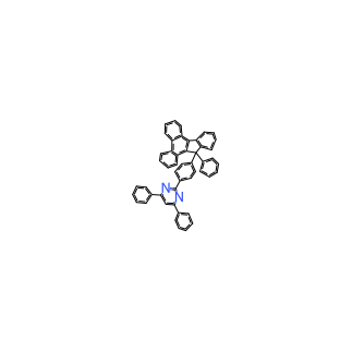 c1ccc(-c2cc(-c3ccccc3)nc(-c3ccc(C4(c5ccccc5)c5ccccc5-c5c4c4ccccc4c4ccccc54)cc3)n2)cc1